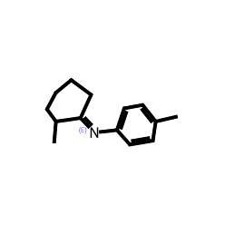 Cc1ccc(/N=C2\CCCCC2C)cc1